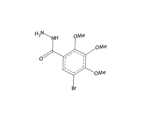 COc1c(Br)cc(C(=O)NN)c(OC)c1OC